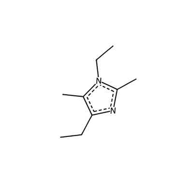 CCc1nc(C)n(CC)c1C